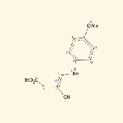 CCOC(=O)C/C(C#N)=C/Nc1ccc(OC)cc1